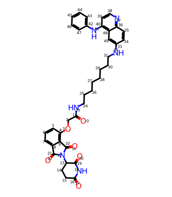 O=C(COc1cccc2c1C(=O)N(C1CCC(=O)NC1=O)C2=O)NCCCCCCCCNc1ccc2nccc(Nc3ccccc3)c2c1